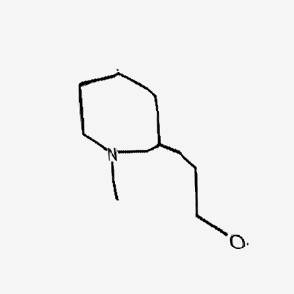 CN1CC[CH]CC1CC[O]